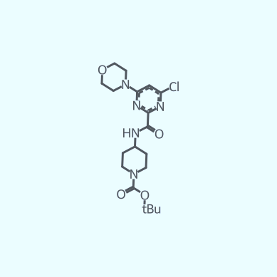 CC(C)(C)OC(=O)N1CCC(NC(=O)c2nc(Cl)cc(N3CCOCC3)n2)CC1